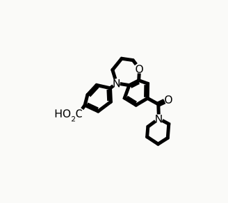 O=C(O)c1ccc(N2CCCOc3cc(C(=O)N4CCCCC4)ccc32)cc1